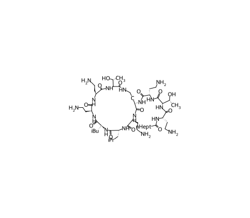 CCCCCCCC(=O)N[C@@H](CCN)C(=O)N[C@H](C(=O)N[C@@H](CCN)C(=O)N[C@H]1CCNC(=O)[C@H]([C@@H](C)O)NC(=O)[C@H](CCN)NC(=O)[C@H](CCN)NC(=O)[C@H]([C@@H](C)CC)NC(=O)[C@@H](CC(C)C)NC(=O)[C@H](CCN)NC1=O)[C@@H](C)O